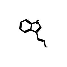 [CH2]C=Cc1csc2ccccc12